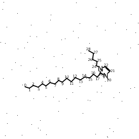 CCCCCCCCCCCCCCCCCCC1N(C)C=CN1CCCCC